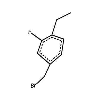 CCc1ccc(CBr)cc1F